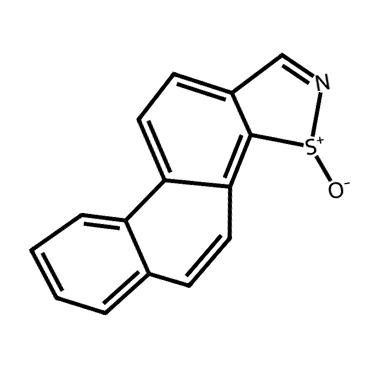 [O-][s+]1ncc2ccc3c4ccccc4ccc3c21